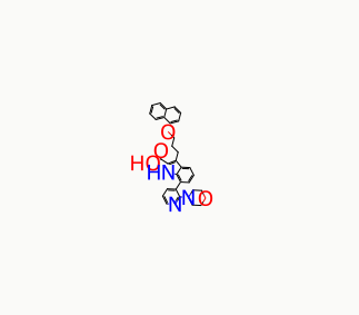 O=C(O)c1[nH]c2c(-c3cccnc3N3CCOCC3)cccc2c1CCCOc1cccc2ccccc12